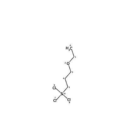 CCOCCC[Si](Cl)(Cl)Cl